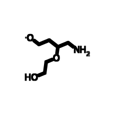 NCC(CC[O])OCCO